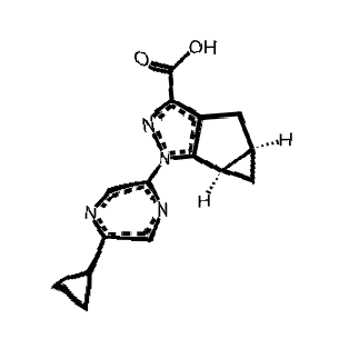 O=C(O)c1nn(-c2cnc(C3CC3)cn2)c2c1C[C@H]1C[C@@H]21